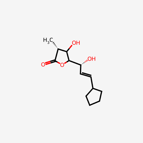 C[C@H]1C(=O)OC([C@H](O)/C=C/C2CCCC2)C1O